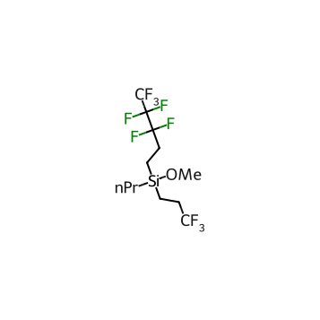 CCC[Si](CCC(F)(F)F)(CCC(F)(F)C(F)(F)C(F)(F)F)OC